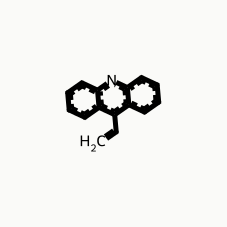 C=Cc1c2ccccc2nc2ccccc12